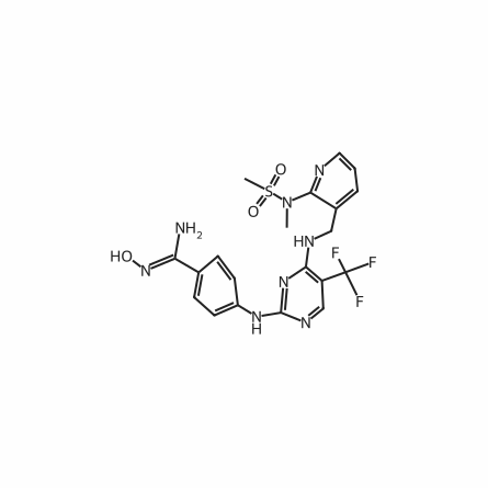 CN(c1ncccc1CNc1nc(Nc2ccc(C(N)=NO)cc2)ncc1C(F)(F)F)S(C)(=O)=O